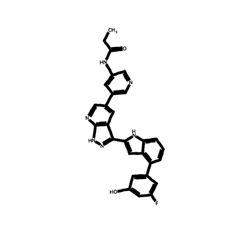 CCC(=O)Nc1cncc(-c2cnc3[nH]nc(-c4cc5c(-c6cc(O)cc(F)c6)cccc5[nH]4)c3c2)c1